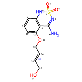 NC1=NS(=O)(=O)Nc2cccc(OC/C=C/CO)c21